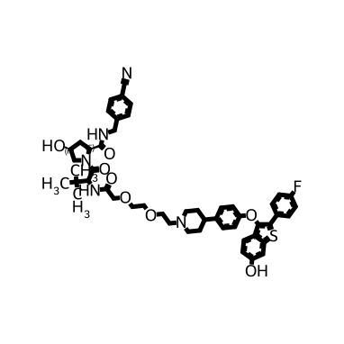 CC(C)(C)C(NC(=O)COCCOCCN1CCC(c2ccc(Oc3c(-c4ccc(F)cc4)sc4cc(O)ccc34)cc2)CC1)C(=O)N1C[C@H](O)C[C@H]1C(=O)NCc1ccc(C#N)cc1